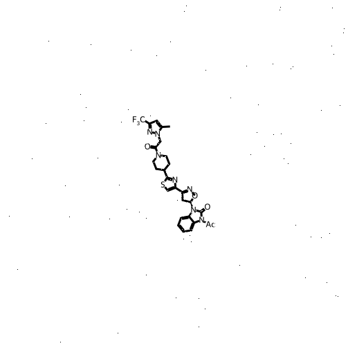 CC(=O)n1c(=O)n([C@H]2CC(c3csc(C4CCN(C(=O)Cn5nc(C(F)(F)F)cc5C)CC4)n3)=NO2)c2ccccc21